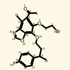 CC(=O)c1c(OCCBr)c(OCCC(C)c2ccc(F)cc2)c2ocnc2c1C